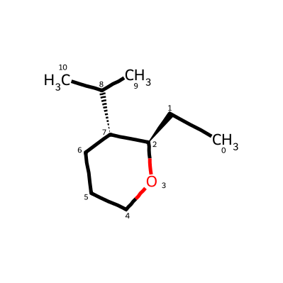 CC[C@H]1OCCC[C@@H]1C(C)C